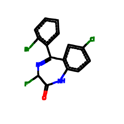 O=C1Nc2ccc(Cl)cc2C(c2ccccc2Br)=NC1F